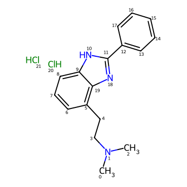 CN(C)CCc1cccc2[nH]c(-c3ccccc3)nc12.Cl.Cl